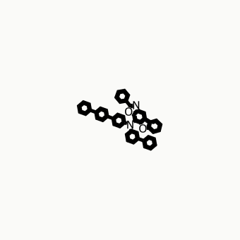 c1ccc(-c2ccc(-c3ccc(N(c4cccc(-c5ccccc5)c4)c4c5oc(-c6ccccc6)nc5cc5c4oc4ccccc45)cc3)cc2)cc1